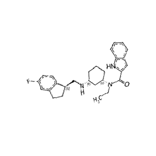 CCN(C(=O)c1cc2ccccc2[nH]1)[C@H]1CCC[C@@H](NC[C@H]2CCc3cc(F)ccc32)C1